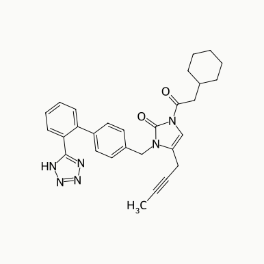 CC#CCc1cn(C(=O)CC2CCCCC2)c(=O)n1Cc1ccc(-c2ccccc2-c2nnn[nH]2)cc1